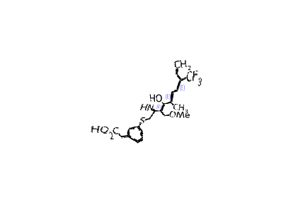 C=C\C(=C/C=C(C)/C(O)=C(\COC)C(=N)CSc1cccc(CC(=O)O)c1)C(F)(F)F